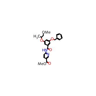 COCC(C)Oc1cc(OCc2ccccc2)cc(C(=O)Nc2ccc(C(=O)OC)cn2)c1